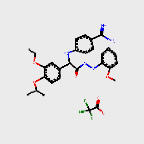 CCOc1cc(C(Nc2ccc(C(=N)N)cc2)C(=O)NNc2ccccc2OC)ccc1OC(C)C.O=C(O)C(F)(F)F